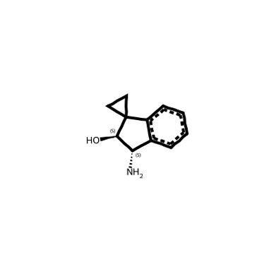 N[C@H]1c2ccccc2C2(CC2)[C@@H]1O